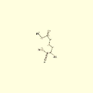 CCC(CSCC(=O)OC(C)C)C(=O)OC